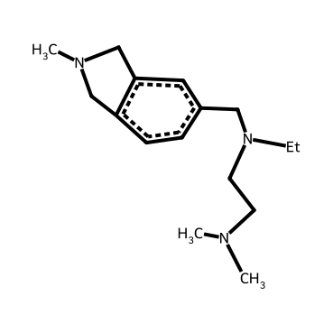 CCN(CCN(C)C)Cc1ccc2c(c1)CN(C)C2